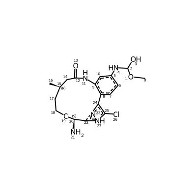 COC(O)Nc1ccc2c(c1)NC(=O)C[C@H](C)CCC[C@H](N)c1nc-2c(Cl)[nH]1